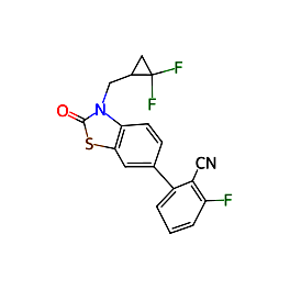 N#Cc1c(F)cccc1-c1ccc2c(c1)sc(=O)n2CC1CC1(F)F